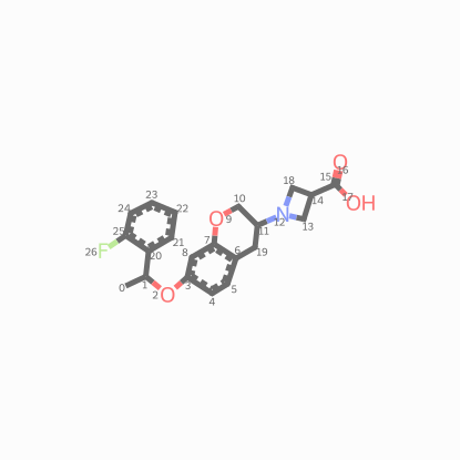 CC(Oc1ccc2c(c1)OCC(N1CC(C(=O)O)C1)C2)c1ccccc1F